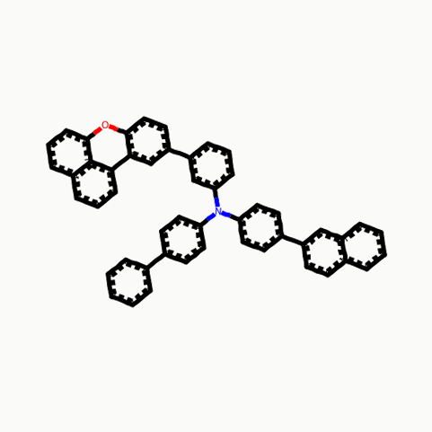 c1ccc(-c2ccc(N(c3ccc(-c4ccc5ccccc5c4)cc3)c3cccc(-c4ccc5c(c4)-c4cccc6cccc(c46)O5)c3)cc2)cc1